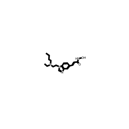 CCCCN(CC)CCn1cnc2cc(/C=C/C(=O)NO)ccc21